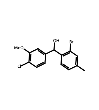 COc1cc(C(O)c2ccc(C)cc2Br)ccc1Cl